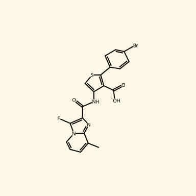 Cc1cccn2c(F)c(C(=O)Nc3csc(-c4ccc(Br)cc4)c3C(=O)O)nc12